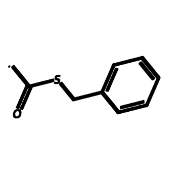 [CH2]C(=O)SCc1ccccc1